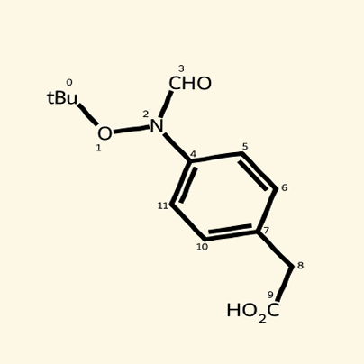 CC(C)(C)ON(C=O)c1ccc(CC(=O)O)cc1